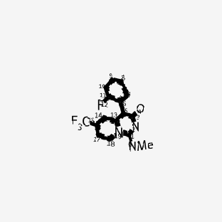 CNc1nc(=O)c(-c2ccccc2F)c2cc(C(F)(F)F)ccn12